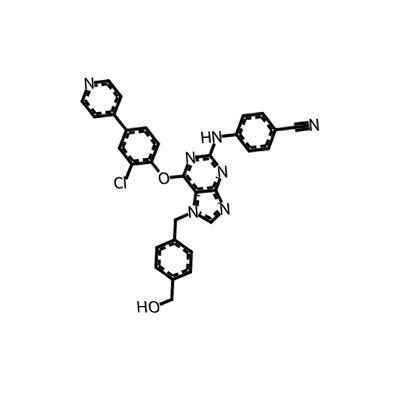 N#Cc1ccc(Nc2nc(Oc3ccc(-c4ccncc4)cc3Cl)c3c(ncn3Cc3ccc(CO)cc3)n2)cc1